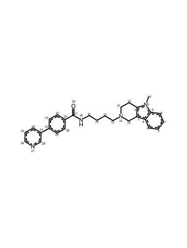 Cn1c2c(c3ccccc31)CN(CCCCNC(=O)c1ccc(-c3cccnc3)cc1)CC2